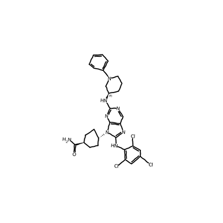 NC(=O)[C@H]1CC[C@H](n2c(Nc3c(Cl)cc(Cl)cc3Cl)nc3cnc(N[C@@H]4CCCN(c5ccccc5)C4)nc32)CC1